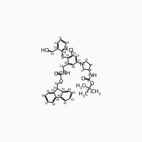 CC(C)(C)OC(=O)NC1CCN(c2cc(Cl)c(Sc3ncccc3CO)c(CNC(=O)OCC3c4ccccc4-c4ccccc43)c2)C1